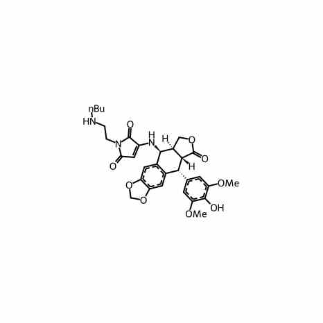 CCCCNCCN1C(=O)C=C(N[C@@H]2c3cc4c(cc3[C@@H](c3cc(OC)c(O)c(OC)c3)[C@H]3C(=O)OC[C@@H]32)OCO4)C1=O